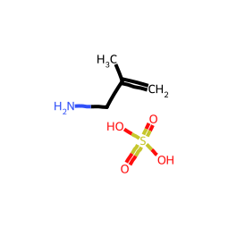 C=C(C)CN.O=S(=O)(O)O